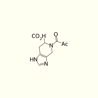 CC(=O)C(=O)N1Cc2nc[nH]c2CC1C(=O)O